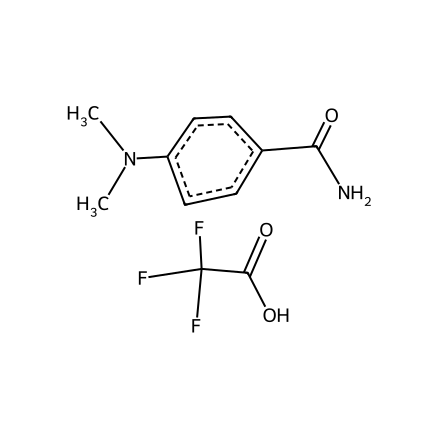 CN(C)c1ccc(C(N)=O)cc1.O=C(O)C(F)(F)F